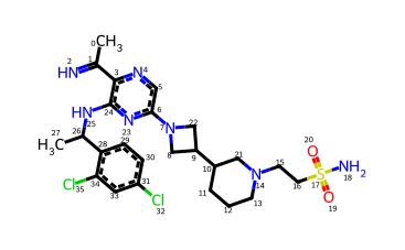 CC(=N)c1ncc(N2CC(C3CCCN(CCS(N)(=O)=O)C3)C2)nc1NC(C)c1ccc(Cl)cc1Cl